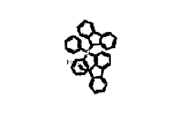 C=CC1c2ccccc2-c2cccc([Si](c3ccccc3)(c3ccccc3)C3c4ccccc4-c4ccccc43)c21